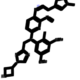 C=Nc1nc(N(Cc2ncn(C3CNC3)n2)c2cc(OC)cc(OC)c2C)ccc1/N=C\Cc1cnn(C)c1